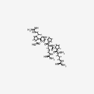 N=C(N)NCCC[C@H](NC(=O)[C@@H]1CCCN1C(=O)[C@H](CCCNC(=N)N)NC(=O)[C@@H]1CCCN1C(=O)[C@@H](N)CCCNC(=N)N)C(=O)N1CCC[C@H]1C(=O)O